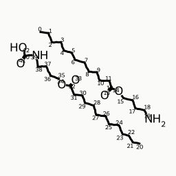 CCCCCCCCCCCCC(=O)OCCCCN.CCCCCCCCCCCCC(=O)OCCCCNC(=O)O